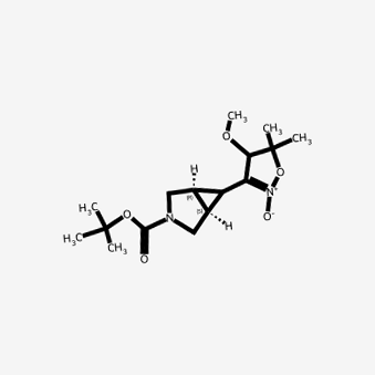 COC1C(C2[C@H]3CN(C(=O)OC(C)(C)C)C[C@@H]23)=[N+]([O-])OC1(C)C